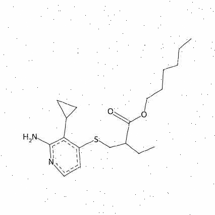 CCCCCCOC(=O)C(CC)CSc1ccnc(N)c1C1CC1